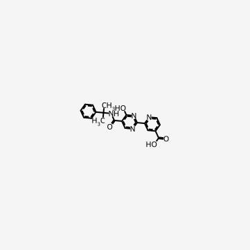 CC(C)(NC(=O)c1cnc(-c2cc(C(=O)O)ccn2)nc1O)c1ccccc1